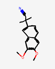 COc1cc2ccc(C(C)(C)C#N)cc2cc1OC